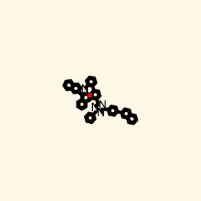 c1ccc(-c2nc(-c3ccc(-c4ccc5ccccc5c4)cc3)nc(-c3ccc(-c4ccccc4-n4c5cc6ccccc6cc5c5c6ccccc6ccc54)cc3)n2)cc1